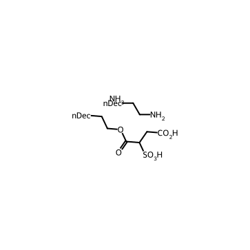 CCCCCCCCCCCCN.CCCCCCCCCCCCOC(=O)C(CC(=O)O)S(=O)(=O)O.N